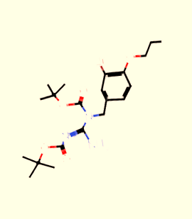 [CH2]CCOc1ccc(CN(C(=O)OC(C)(C)C)/C(N)=N/C(=O)OC(C)(C)C)cc1Br